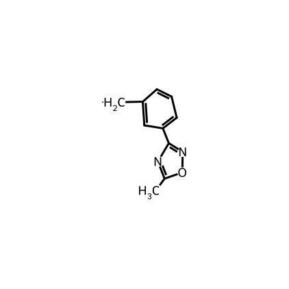 [CH2]c1cccc(-c2noc(C)n2)c1